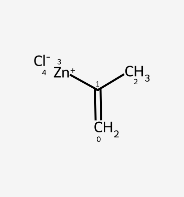 C=[C](C)[Zn+].[Cl-]